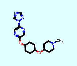 CN1CCC(OC2CCC(Oc3cnc(-n4cncn4)cn3)CC2)CC1